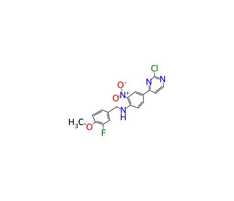 COc1ccc(CNc2ccc(-c3ccnc(Cl)n3)cc2[N+](=O)[O-])cc1F